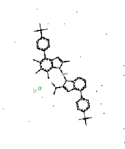 CC1=Cc2c(-c3ccc(C(C)(C)C)cc3)c(C)c(C)c(C)c2[CH]1[Zr+2][CH]1C(C(C)C)=Cc2c(-c3ccc(C(C)(C)C)cc3)cccc21.[Cl-].[Cl-]